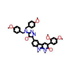 COc1ccc(CN(Cc2ccc(OC)cc2)C2=NN=C(c3ccc4c(c3)c3cc(-c5ccc(OC)cc5OC)c(=O)n(C)c3n4C)C2=O)cc1